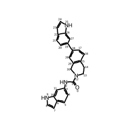 O=C(Nc1ccc2cc[nH]c2c1)N1CCc2ccc(-c3ccc4cc[nH]c4c3)cc2C1